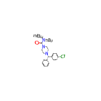 CCCCN(CCCC)C(=O)N1CCN(C(c2ccccc2)c2ccc(Cl)cc2)CC1